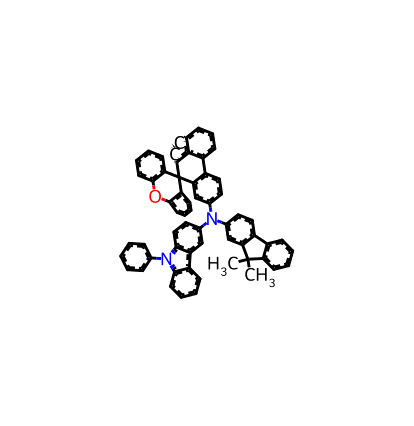 CC1(C)c2ccccc2-c2ccc(N(c3ccc4c(c3)C3(c5ccccc5Oc5ccccc53)c3cccc5cccc-4c35)c3ccc4c(c3)c3ccccc3n4-c3ccccc3)cc21